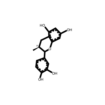 C[C@H]1Cc2c(O)cc(O)cc2OC1c1ccc(O)c(O)c1